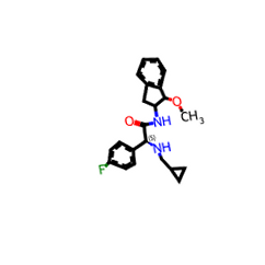 COC1c2ccccc2CC1NC(=O)[C@@H](NCC1CC1)c1ccc(F)cc1